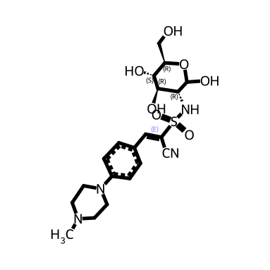 CN1CCN(c2ccc(/C=C(\C#N)S(=O)(=O)N[C@H]3C(O)O[C@H](CO)[C@@H](O)[C@@H]3O)cc2)CC1